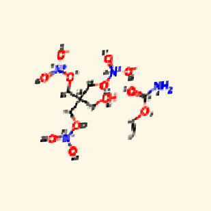 C=COC(N)=O.O=[N+]([O-])OCC(CO)(CO[N+](=O)[O-])CO[N+](=O)[O-]